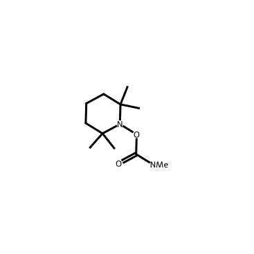 CNC(=O)ON1C(C)(C)CCCC1(C)C